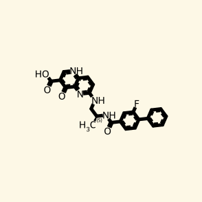 C[C@@H](CNc1ccc2[nH]cc(C(=O)O)c(=O)c2n1)NC(=O)c1ccc(-c2ccccc2)c(F)c1